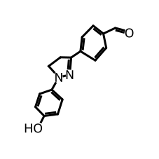 O=Cc1ccc(C2=NN(c3ccc(O)cc3)CC2)cc1